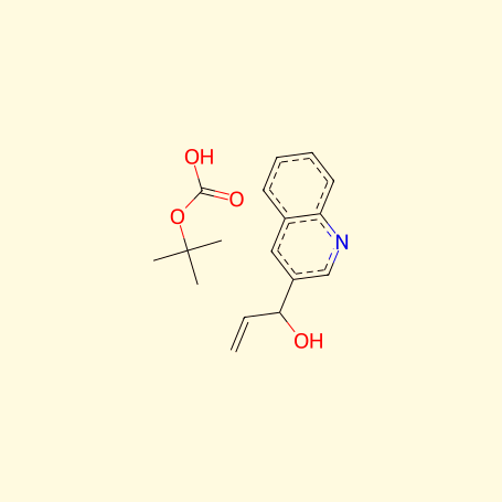 C=CC(O)c1cnc2ccccc2c1.CC(C)(C)OC(=O)O